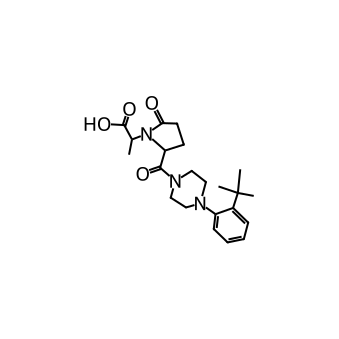 CC(C(=O)O)N1C(=O)CCC1C(=O)N1CCN(c2ccccc2C(C)(C)C)CC1